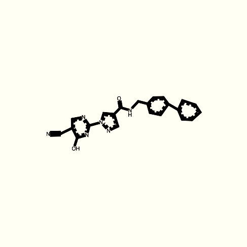 N#Cc1cnc(-n2cc(C(=O)NCc3ccc(-c4ccccc4)cc3)cn2)nc1O